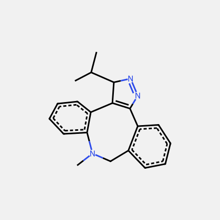 CC(C)C1N=NC2=C1c1ccccc1N(C)Cc1ccccc12